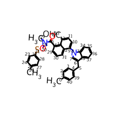 Cc1ccc(Cc2cn(-c3ccc(C=O)c4c(C(=O)N(C)OSc5ccc(C)cc5)cccc34)c3ccccc23)cc1